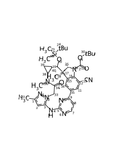 Cc1cc(Nc2nccc(-c3cc(C#N)c4c(c3)[C@@](C)(CO[Si](C)(C)C(C)(C)C)CN4C(=O)OC(C)(C)C)n2)n(CC(=O)N(C)C2CC2)n1